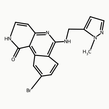 Cn1nccc1CNc1nc2cc[nH]c(=O)c2c2cc(Br)ccc12